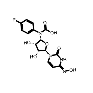 O=C(O)N(c1ccc(F)cc1)[C@@H]1O[C@@H](n2cc/c(=N/O)[nH]c2=O)[C@H](O)[C@@H]1O